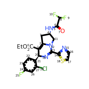 CCOC(=O)C1=C2C[C@H](NC(=O)C(F)F)CN2C(c2nccs2)=N[C@H]1c1ccc(F)cc1Cl